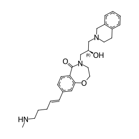 CNCCCC=Cc1ccc2c(c1)OCCN(C[C@H](O)CN1CCc3ccccc3C1)C2=O